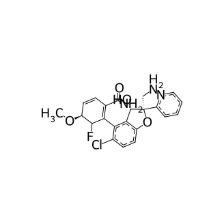 CO[C@H]1C=CC(C(N)=O)=C(c2c(Cl)ccc3c2[C@H](O)[C@@](CN)(c2ccccn2)O3)C1F